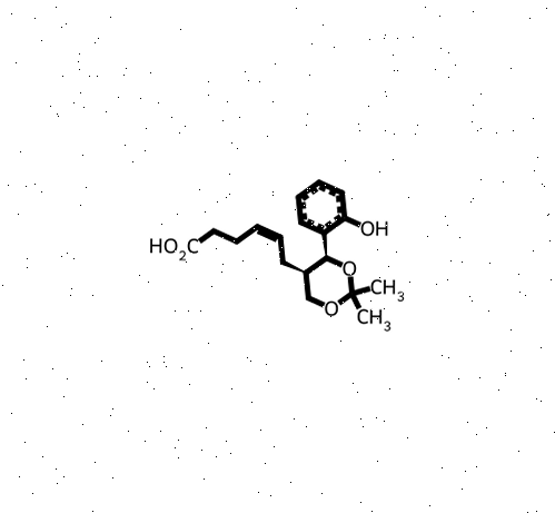 CC1(C)OC[C@@H](C/C=C\CCC(=O)O)[C@@H](c2ccccc2O)O1